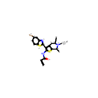 C=CC(=O)Nc1sc2c(c1-c1nc3cc(Br)ccc3s1)CC(C)N(C(=O)O)C2C